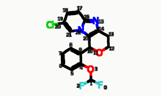 FC(F)Oc1ccccc1C1OCCc2nc3ccc(Cl)cn3c21